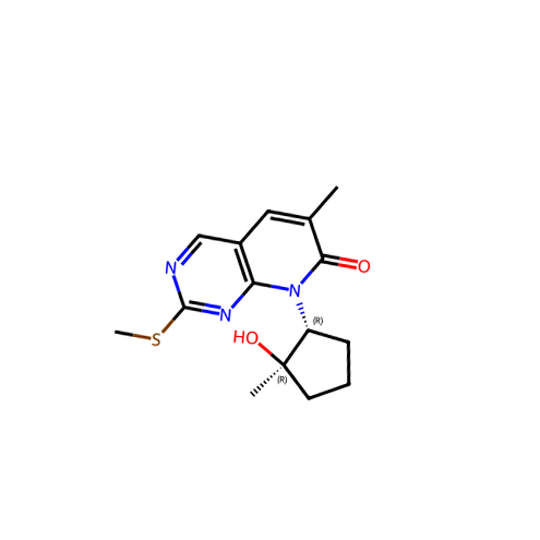 CSc1ncc2cc(C)c(=O)n([C@@H]3CCC[C@@]3(C)O)c2n1